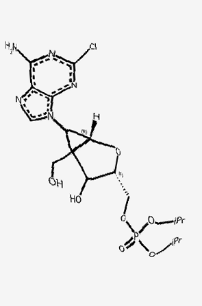 CC(C)OP(=O)(OC[C@H]1O[C@H]2C(n3cnc4c(N)nc(Cl)nc43)C2(CO)C1O)OC(C)C